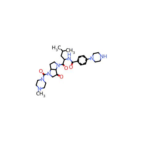 CC(C)CC(NC(=O)c1ccc(N2CCNCC2)cc1)C(=O)N1CCC2C1C(=O)CN2C(=O)N1CCN(C)CC1